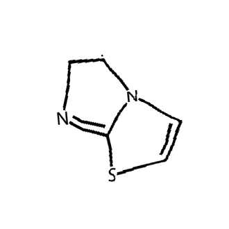 [CH]1CN=C2SC=CN12